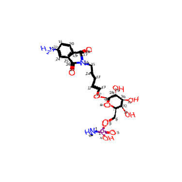 CNP(=O)(O)OC[C@H]1O[C@@H](OCCCCCN2C(=O)c3ccc(N)cc3C2=O)[C@H](O)[C@@H](O)[C@H]1O